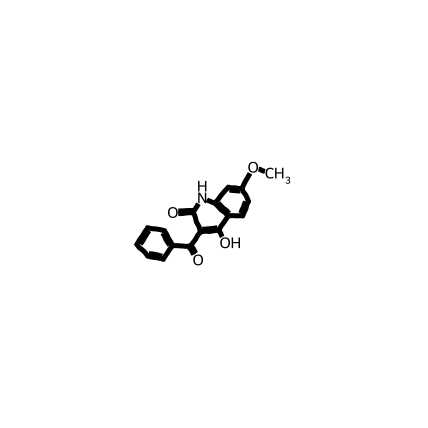 COc1ccc2c(O)c(C(=O)c3ccccc3)c(=O)[nH]c2c1